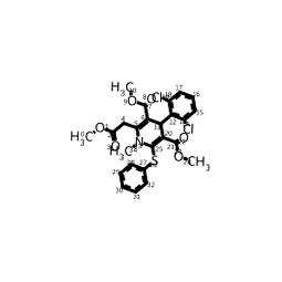 COC(=O)CC1=C(C(=O)OC)C(c2c(Cl)cccc2Cl)C(C(=O)OC)=C(Sc2ccccc2)N1C